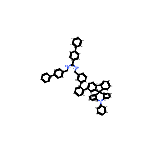 c1ccc(-c2ccc(CNC(NCc3cccc(-c4ccccc4-c4ccc5c(c4)C4(c6ccccc6-5)c5ccccc5N(c5ccccc5)c5ccccc54)c3)c3ccc(-c4ccccc4)cc3)cc2)cc1